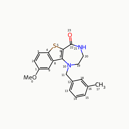 COc1ccc2sc3c(c2c1)N(Cc1cccc(C)c1)CCNC3=O